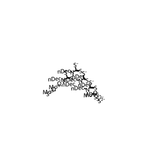 CCCCCCCCCCN(CCCCCCCCCC)C(=S)[S-].CCCCCCCCCCN(CCCCCCCCCC)C(=S)[S-].CCCCCCCCCCN(CCCCCCCCCC)C(=S)[S-].CCCCCCCCCCN(CCCCCCCCCC)C(=S)[S-].[O]=[Mo+4].[O]=[Mo+4].[O]=[Mo+4].[S-2].[S-2].[S-2].[S-2]